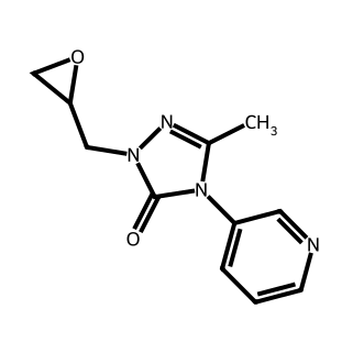 Cc1nn(CC2CO2)c(=O)n1-c1cccnc1